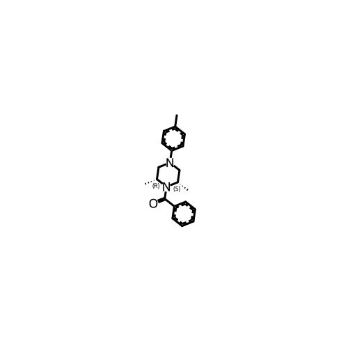 Cc1ccc(N2C[C@@H](C)N(C(=O)c3ccccc3)[C@@H](C)C2)cc1